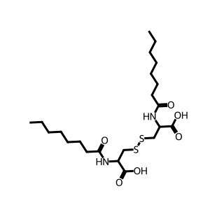 CCCCCCCC(=O)NC(CSSCC(NC(=O)CCCCCCC)C(=O)O)C(=O)O